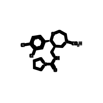 O=C(O)N1CCO[C@@H](c2ccc(Cl)c(Cl)c2)[C@H](CNC(=O)N2CCCC2)C1